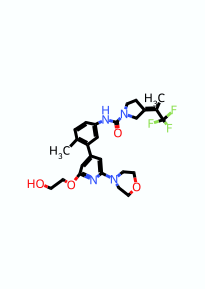 C/C(=C1\CCN(C(=O)Nc2ccc(C)c(-c3cc(OCCO)nc(N4CCOCC4)c3)c2)C1)C(F)(F)F